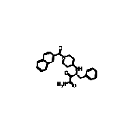 NC(=O)C(=O)[C@H](Cc1ccccc1)NC1CCN(C(=O)c2ccc3ccccc3c2)CC1